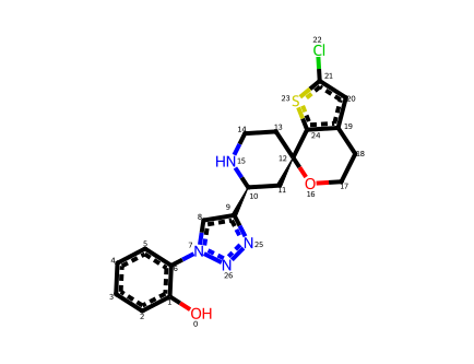 Oc1ccccc1-n1cc([C@@H]2C[C@]3(CCN2)OCCc2cc(Cl)sc23)nn1